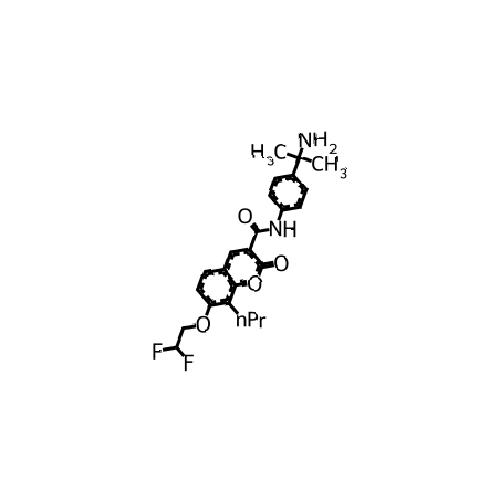 CCCc1c(OCC(F)F)ccc2cc(C(=O)Nc3ccc(C(C)(C)N)cc3)c(=O)oc12